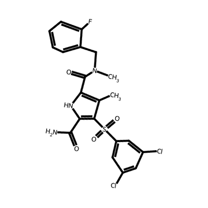 Cc1c(C(=O)N(C)Cc2ccccc2F)[nH]c(C(N)=O)c1S(=O)(=O)c1cc(Cl)cc(Cl)c1